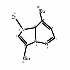 CCN1C=C(C(C)(C)C)N2N=CC=C(C(C)(C)C)C12